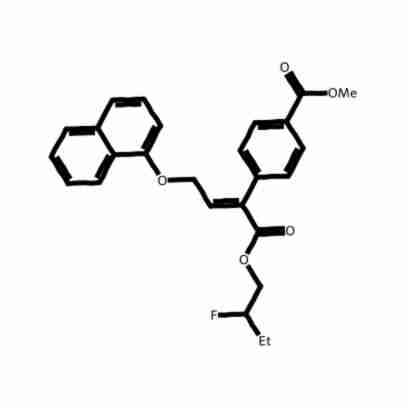 CCC(F)COC(=O)C(=CCOc1cccc2ccccc12)c1ccc(C(=O)OC)cc1